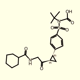 CC(C)(C)N(C(=O)O)S(=O)(=O)c1ccc([C@@H]2C[C@H]2C(=O)CNC(=O)C2CCCCC2)cc1